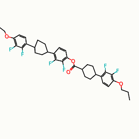 CCCOc1ccc(C2CCC(C(=O)Oc3ccc(C4CCC(c5ccc(OCC)c(F)c5F)CC4)c(F)c3F)CC2)c(F)c1F